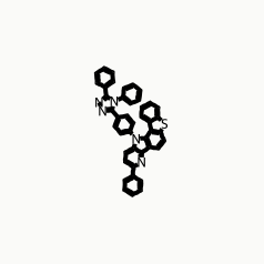 c1ccc(-c2ccc3c(n2)c2ccc4sc5ccccc5c4c2n3-c2ccc(-c3nnc(-c4ccccc4)n3-c3ccccc3)cc2)cc1